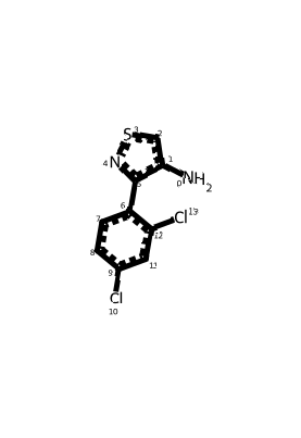 Nc1csnc1-c1ccc(Cl)cc1Cl